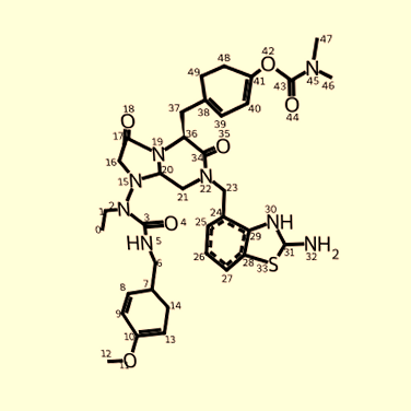 CCN(C(=O)NCC1C=CC(OC)=CC1)N1CC(=O)N2C1CN(Cc1cccc3c1NC(N)S3)C(=O)[C@@H]2CC1=CC=C(OC(=O)N(C)C)CC1